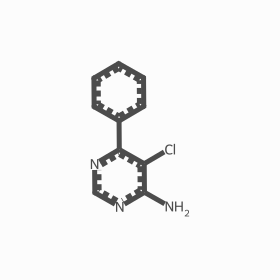 Nc1ncnc(-c2ccccc2)c1Cl